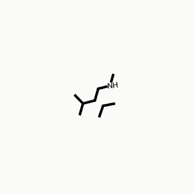 CCC.CNCCC(C)C